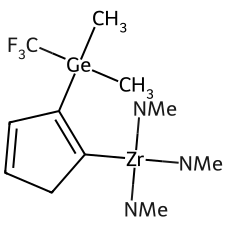 C[NH][Zr]([NH]C)([NH]C)[C]1=[C]([Ge]([CH3])([CH3])[C](F)(F)F)C=CC1